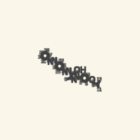 Cc1nn(-c2ccc(OCC(C)C)cc2)c(O)c1/N=N/c1ccc(/N=N/c2ccccc2)cc1